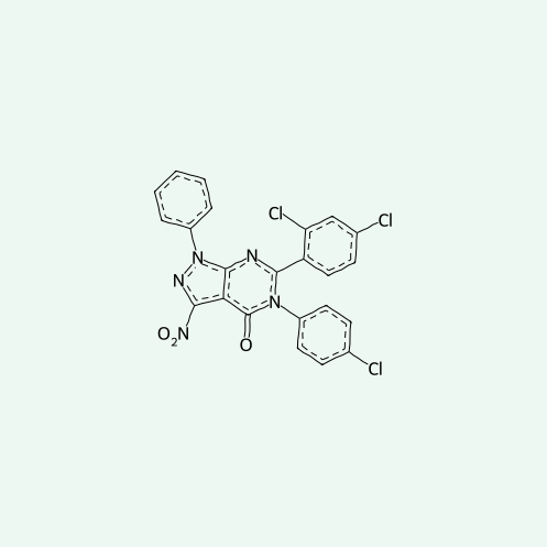 O=c1c2c([N+](=O)[O-])nn(-c3ccccc3)c2nc(-c2ccc(Cl)cc2Cl)n1-c1ccc(Cl)cc1